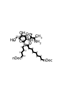 CCCCCCCCCCCCCCCCCC(=O)N(CCCCCCCCCCCCCC)[C@@H]1O[C@H](CO)[C@@H](O)[C@H](O)[C@@H]1NC(=O)[C@H](C)N